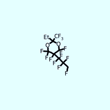 CCC1(C(F)(F)F)OC(F)(F)C(F)(C(F)(F)C(F)(F)CF)C(F)(F)O1